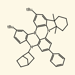 CC(C)(C)c1ccc2c(c1)B1c3cc(C(C)(C)C)cc4c3N(c3cc(-c5ccccc5)cc(c31)N2C1CC2CCC1C2)C1(C)CCCCC41C